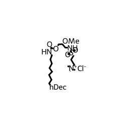 CCCCCCCCCCCCCCCCCCNC(=O)OCC(CNS(=O)(=O)CCC[N+](C)(C)C)OC.[Cl-]